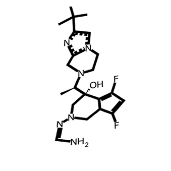 C[C@@H](N1CCn2cc(C(C)(C)C)nc2C1)[C@]1(O)CN(/N=C\N)CC2C(F)=CC(F)=C21